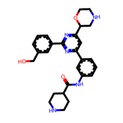 O=C(Nc1cccc(-c2cc(C3CNCCO3)nc(-c3cccc(CO)c3)n2)c1)C1CCNCC1